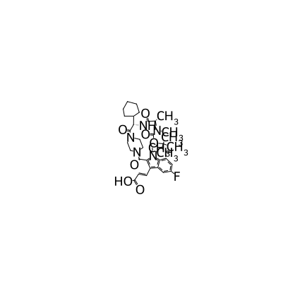 C[C@@H](C(=O)N[C@H](C(=O)N1CCN(C(=O)c2c(C=CC(=O)O)c3cc(F)ccc3n2C)CC1)C1CCCCC1)N(C)C(=O)OC(C)(C)C